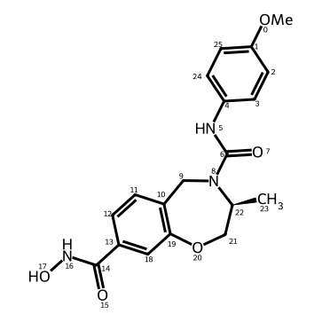 COc1ccc(NC(=O)N2Cc3ccc(C(=O)NO)cc3OC[C@@H]2C)cc1